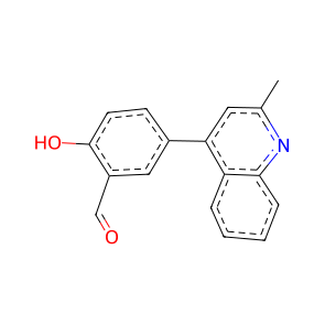 Cc1cc(-c2ccc(O)c(C=O)c2)c2ccccc2n1